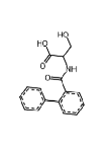 O=C(NC(CO)C(=O)O)c1ccccc1-c1ccccc1